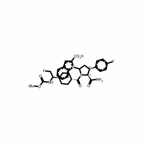 CC(C)(C)OC(=O)NC(CF)[C@H]1CC[C@H](C(=O)N2C(n3c(C(=O)O)cc4ccccc43)C[C@@H](c3ccc(F)cc3)[C@H]2C(N)=O)CC1